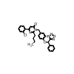 CCCCc1nc(-c2ccccc2Cl)cc(=O)n1Cc1ccc(OC(c2ccccc2)c2nnn[nH]2)cc1